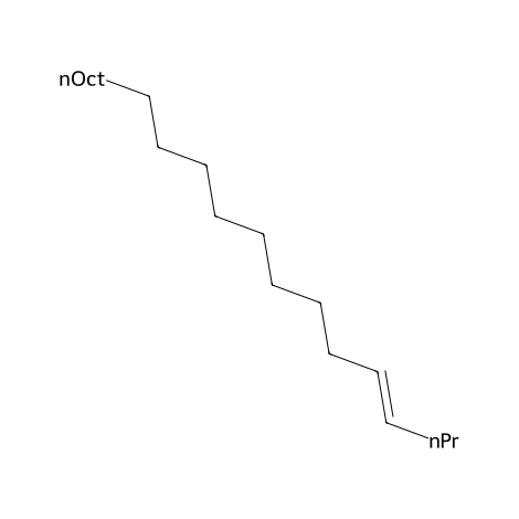 CCC/C=C/CCCCCCCCCCCCCCCC